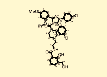 COc1ccc(C2=N[C@@H](c3ccc(Cl)cc3)[C@@H](c3ccc(Cl)cc3)N2C(=O)N2CCN(CCNC(=O)c3cccc(CO)c3O)CC2)c(OC(C)C)c1